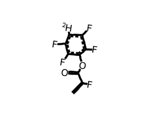 [2H]c1c(F)c(F)c(OC(=O)C(=C)F)c(F)c1F